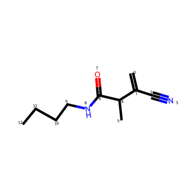 C=C(C#N)C(C)C(=O)NCCCC